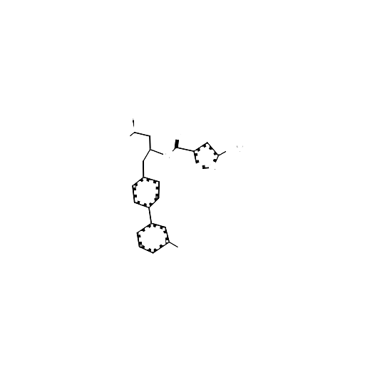 COc1cc(C(=O)NC(Cc2ccc(-c3cccc(Cl)c3)cc2)C[C@@H](O)C(=O)O)on1